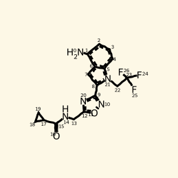 Nc1cccc2c1cc(-c1noc(CNC(=O)C3CC3)n1)n2CC(F)(F)F